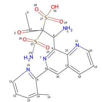 CC(=O)C(C(N)c1nc(-c2ncccc2C)cc2cccnc12)(S(N)(=O)=O)S(=O)(=O)O